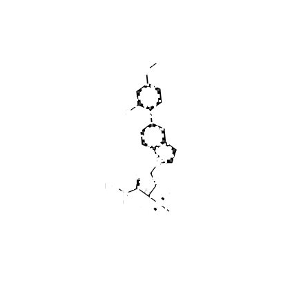 CSc1ccc(-c2ccc3c(ccn3CC[C@](C)(C(=O)NO)S(C)(=O)=O)c2)c(F)c1